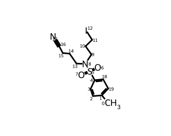 Cc1ccc(S(=O)(=O)N(CCCI)CCCC#N)cc1